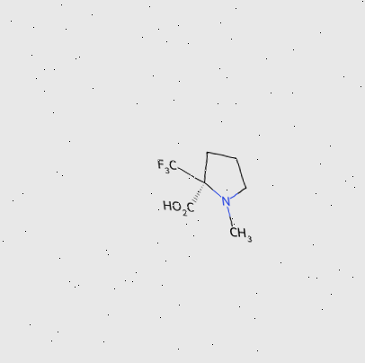 CN1CCC[C@]1(C(=O)O)C(F)(F)F